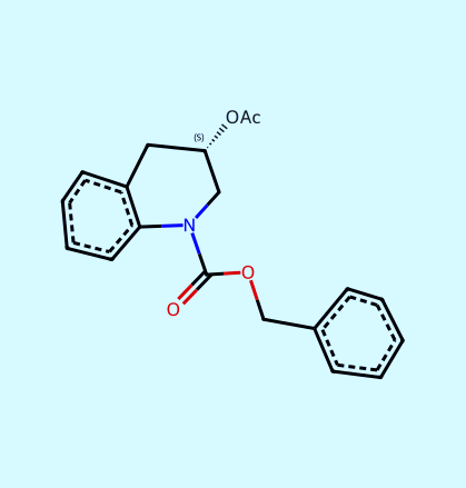 CC(=O)O[C@H]1Cc2ccccc2N(C(=O)OCc2ccccc2)C1